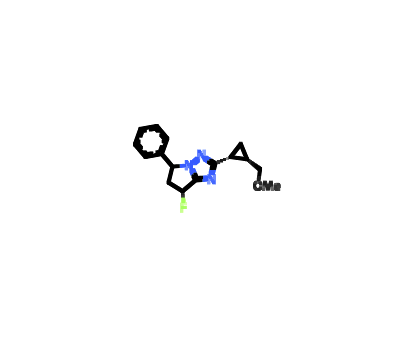 COC[C@@H]1C[C@H]1c1nc2n(n1)C(c1ccccc1)C[C@@H]2F